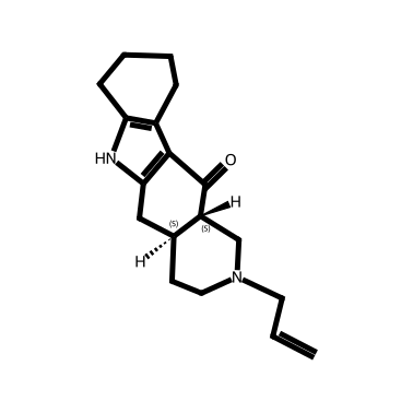 C=CCN1CC[C@H]2Cc3[nH]c4c(c3C(=O)[C@@H]2C1)CCCC4